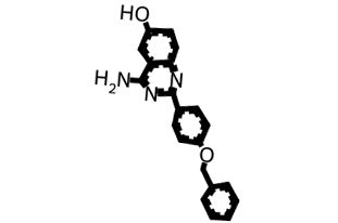 Nc1nc(-c2ccc(OCc3ccccc3)cc2)nc2ccc(O)cc12